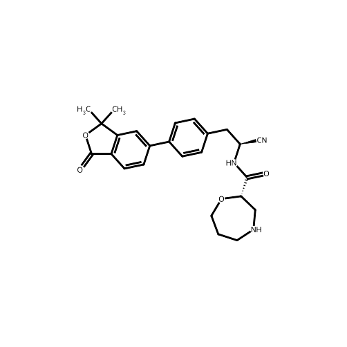 CC1(C)OC(=O)c2ccc(-c3ccc(C[C@@H](C#N)NC(=O)[C@@H]4CNCCCO4)cc3)cc21